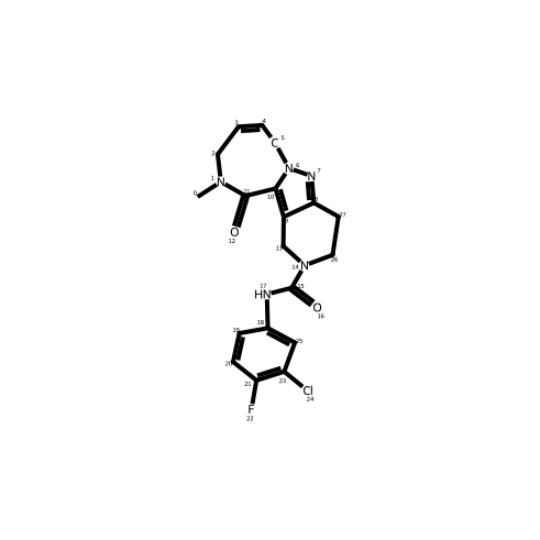 CN1C/C=C\Cn2nc3c(c2C1=O)CN(C(=O)Nc1ccc(F)c(Cl)c1)CC3